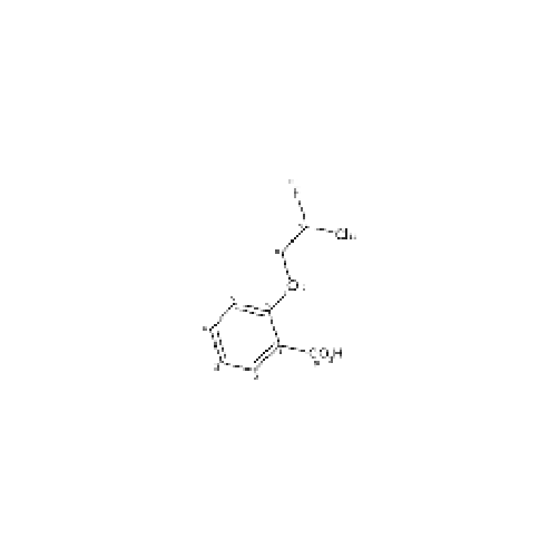 O=C(O)c1ccccc1OCC(F)Cl